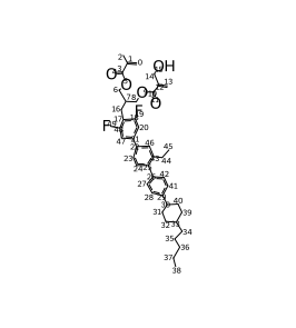 C=C(C)C(=O)OCC(COC(=O)C(=C)CO)Cc1c(F)cc(-c2ccc(-c3ccc(C4CCC(CCCCC)CC4)cc3)c(CC)c2)cc1F